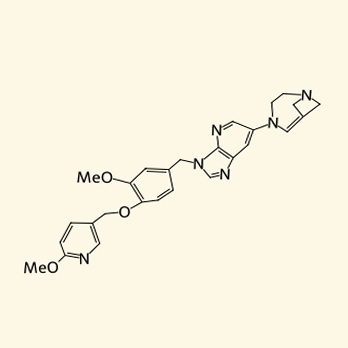 COc1ccc(COc2ccc(Cn3cnc4cc(N5C=C6CN(CC5)C6)cnc43)cc2OC)cn1